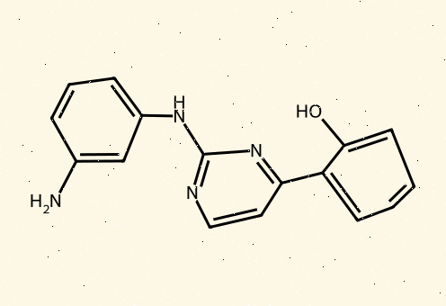 Nc1cccc(Nc2nccc(-c3ccccc3O)n2)c1